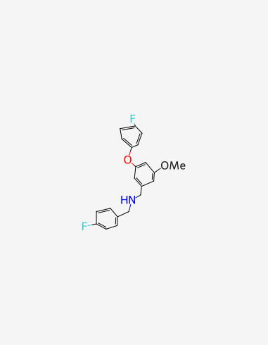 COc1cc(CNCc2ccc(F)cc2)cc(Oc2ccc(F)cc2)c1